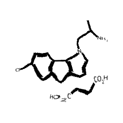 CC(N)Cn1ccc2c1-c1ccc(Cl)cc1C2.O=C(O)C=CC(=O)O